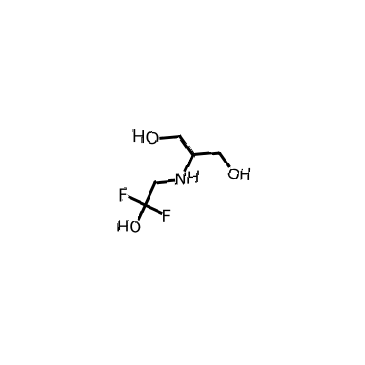 OCC(CO)NCC(O)(F)F